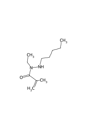 C=C(C)C(=O)N(CC)NCCCCC